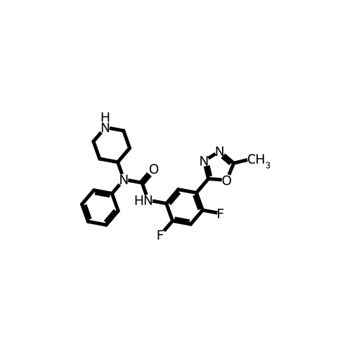 Cc1nnc(-c2cc(NC(=O)N(c3ccccc3)C3CCNCC3)c(F)cc2F)o1